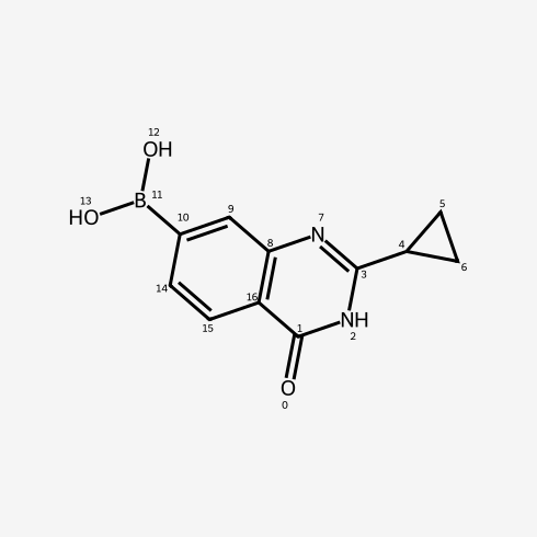 O=c1[nH]c(C2CC2)nc2cc(B(O)O)ccc12